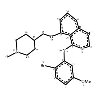 COc1ccc(Br)c(Nc2ncnc3cccc(OCC4CCN(C)CC4)c23)c1